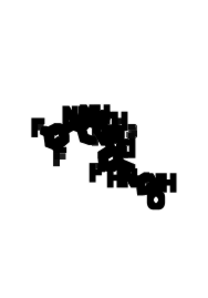 CN/C(=C1/CCN(C(=O)c2cc(F)cc(CNC3CNC(=O)C3)c2Cl)C(C)C1=N)c1cc(F)cc(F)c1